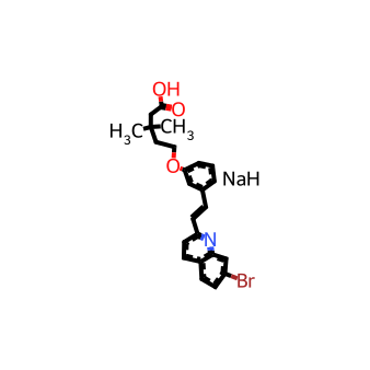 CC(C)(CCOc1cccc(C=Cc2ccc3ccc(Br)cc3n2)c1)CC(=O)O.[NaH]